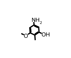 COc1cc(N)cc(O)c1C